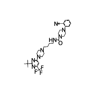 CC(C)(C)c1nc(N2CCN(CCCCNC(=O)N3CCN(c4ccccc4C#N)CC3)CC2)cc(C(F)(F)F)n1